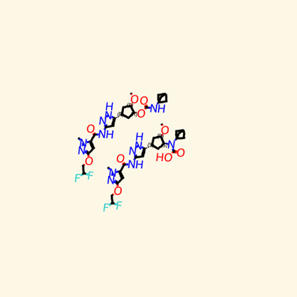 CO[C@@H]1C[C@@H](c2cc(NC(=O)c3cc(OCC(F)F)nn3C)n[nH]2)C[C@@H]1N(C(=O)O)C12CC(C1)C2.CO[C@H]1C[C@@H](c2cc(NC(=O)c3cc(OCC(F)F)nn3C)n[nH]2)C[C@H]1OC(=O)NC12CC(C1)C2